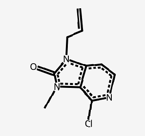 C=CCn1c(=O)n(C)c2c(Cl)nccc21